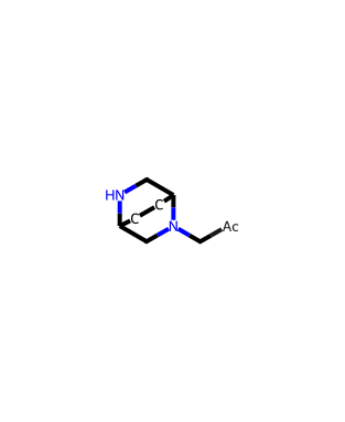 CC(=O)CN1CC2CCC1CN2